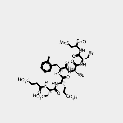 CSCC(C=O)NC(=O)[C@H](CC(C)C)NC(=O)[C@@H](NC(=O)[C@H](Cc1ccccc1C)NC(=O)[C@H](CCC(=O)O)NC(=O)[C@H](CC(=O)O)NC(=O)CCC(=O)O)C(C)(C)C